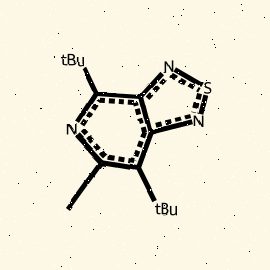 Cc1nc(C(C)(C)C)c2nsnc2c1C(C)(C)C